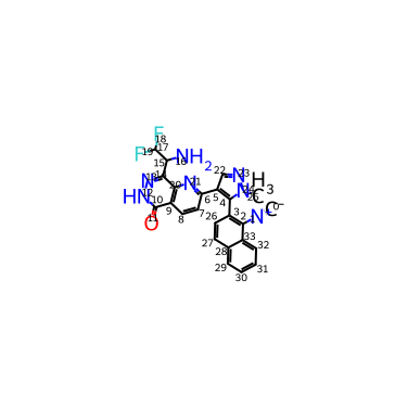 [C-]#[N+]c1c(-c2c(-c3ccc4c(=O)[nH]nc(C(N)C(F)F)c4n3)cnn2C)ccc2ccccc12